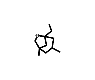 CCC12CC(C)CC(C)(CN1)C2